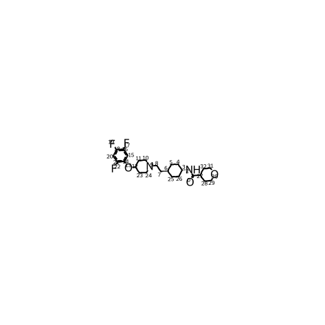 O=C(N[C@H]1CC[C@H](CCN2CCC(Oc3cc(F)c(F)cc3F)CC2)CC1)C1CCOCC1